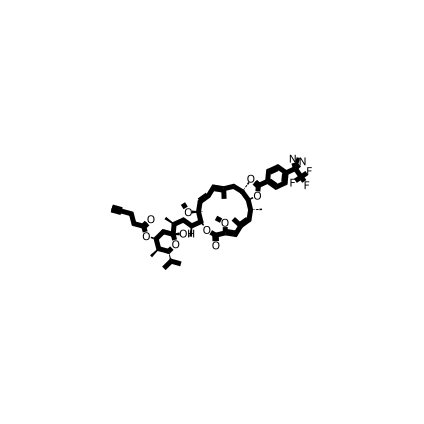 C#CCCC(=O)O[C@@H]1C[C@](O)([C@@H](C)C[C@H](C)[C@H]2OC(=O)/C(OC)=C/C(C)=C/[C@@H](C)[C@@H](OC(=O)c3ccc(C4(C(F)(F)F)N=N4)cc3)[C@@H](C)C/C(C)=C/C=C/[C@@H]2OC)O[C@H](C(C)C)[C@H]1C